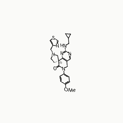 COc1ccc(N2Cc3cnc(NCC4CC4)nc3[C@@]3(CCN(Cc4cscn4)C3)C2=O)cc1